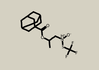 CC(C[NH+]([O-])SC(F)(F)F)OC(=O)C12CC3CC(CC(C3)C1)C2